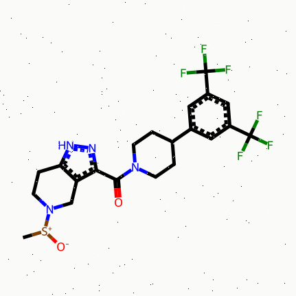 C[S+]([O-])N1CCc2[nH]nc(C(=O)N3CCC(c4cc(C(F)(F)F)cc(C(F)(F)F)c4)CC3)c2C1